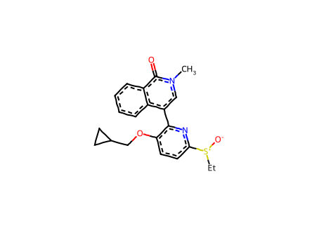 CC[S+]([O-])c1ccc(OCC2CC2)c(-c2cn(C)c(=O)c3ccccc23)n1